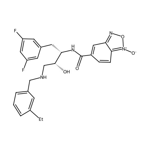 CCc1cccc(CNC[C@@H](O)[C@H](Cc2cc(F)cc(F)c2)NC(=O)c2ccc3c(c2)no[n+]3[O-])c1